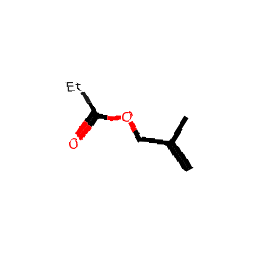 [CH2]CC(=O)OCC(=C)C